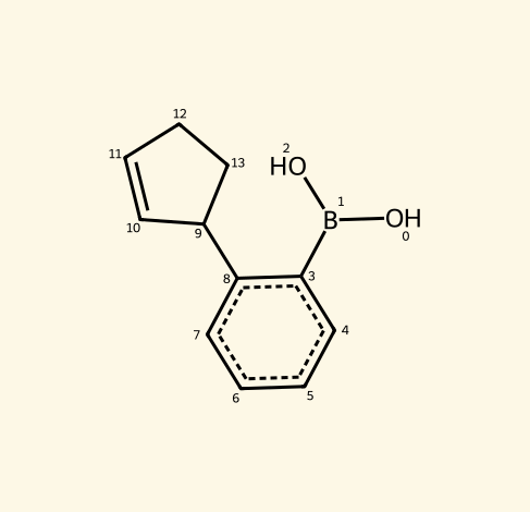 OB(O)c1ccccc1C1C=CCC1